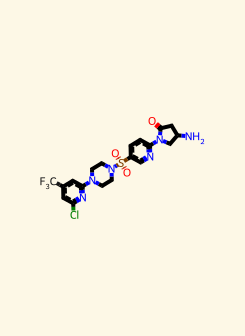 NC1CC(=O)N(c2ccc(S(=O)(=O)N3CCN(c4cc(C(F)(F)F)cc(Cl)n4)CC3)cn2)C1